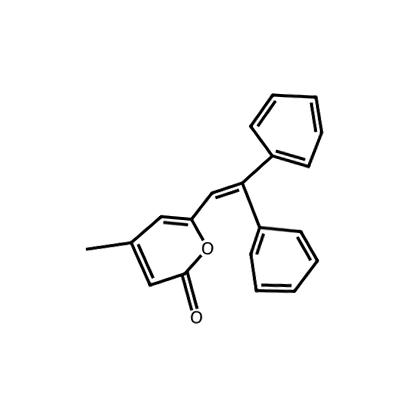 Cc1cc(C=C(c2ccccc2)c2ccccc2)oc(=O)c1